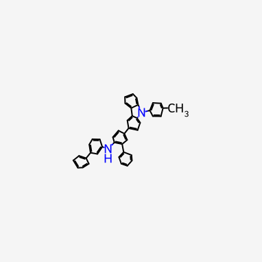 Cc1ccc(-n2c3ccccc3c3cc(-c4ccc(Nc5cccc(-c6ccccc6)c5)c(-c5ccccc5)c4)ccc32)cc1